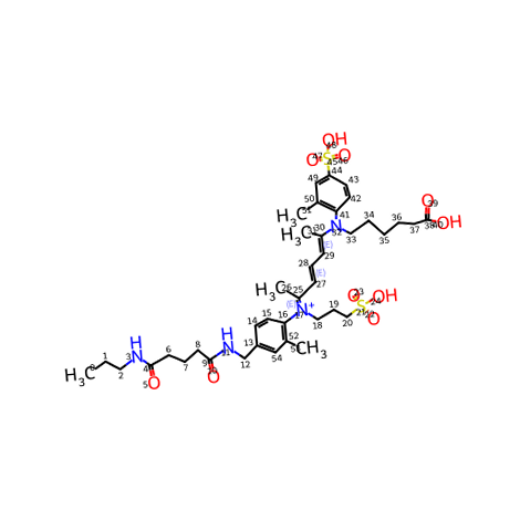 CCCNC(=O)CCCC(=O)NCc1ccc(/[N+](CCCS(=O)(=O)O)=C(C)/C=C/C=C(\C)N(CCCCCC(=O)O)c2ccc(S(=O)(=O)O)cc2C)c(C)c1